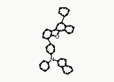 c1ccc(-c2cc3c4cccc(-c5ccc(N(c6ccccc6)c6ccc7ccccc7c6)cc5)c4oc3c3ccccc23)cc1